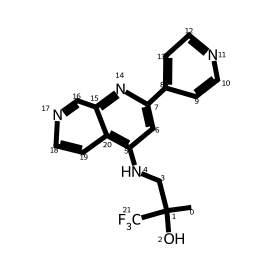 CC(O)(CNc1cc(-c2ccncc2)nc2cnccc12)C(F)(F)F